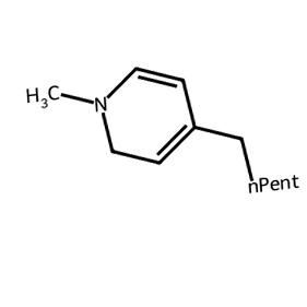 CCCCCCC1=CCN(C)C=C1